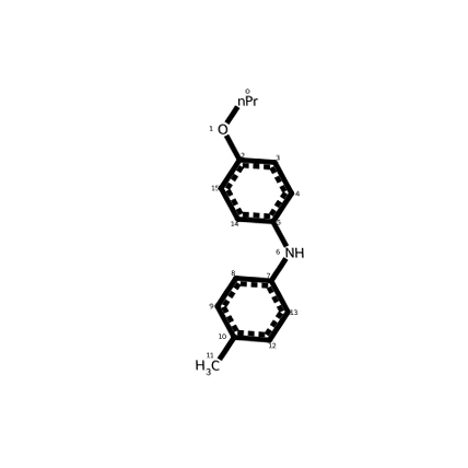 CCCOc1ccc(Nc2ccc(C)cc2)cc1